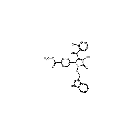 COC(=O)c1ccc(C2C(C(=O)c3ccccc3Cl)=C(O)C(=O)N2CCc2c[nH]c3ccccc23)cc1